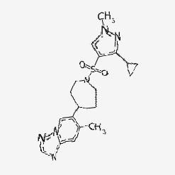 Cc1cc2ncnn2cc1C1CCN(S(=O)(=O)c2cn(C)nc2C2CC2)CC1